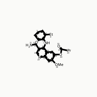 CCc1ccccc1Nc1c(C(N)=O)cnc2cc(OC)c(OC(=O)C(C)C)cc12